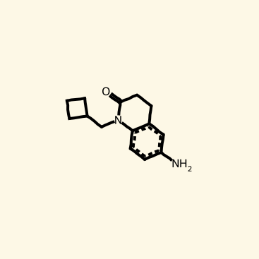 Nc1ccc2c(c1)CCC(=O)N2CC1CCC1